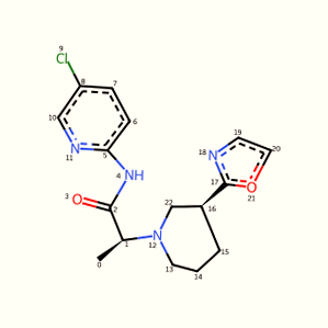 C[C@@H](C(=O)Nc1ccc(Cl)cn1)N1CCC[C@H](c2ncco2)C1